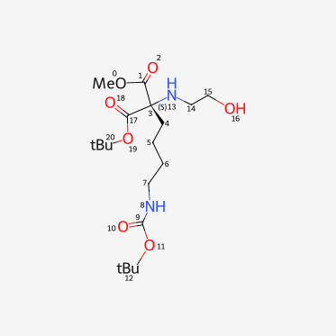 COC(=O)[C@](CCCCNC(=O)OC(C)(C)C)(NCCO)C(=O)OC(C)(C)C